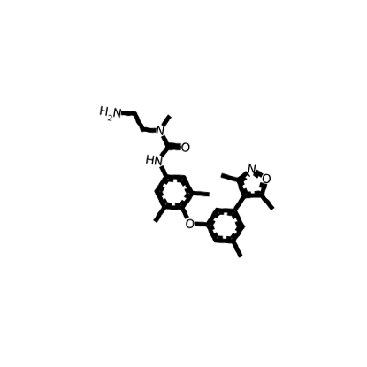 Cc1cc(Oc2c(C)cc(NC(=O)N(C)CCN)cc2C)cc(-c2c(C)noc2C)c1